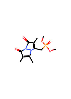 COP(=O)(Cc1c(C)c(=O)n2c(=O)c(C)c(C)n12)OC